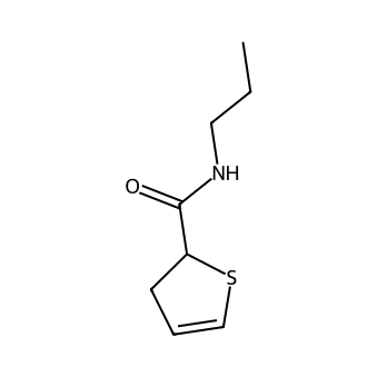 CCCNC(=O)C1CC=CS1